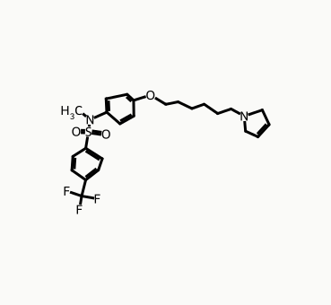 CN(c1ccc(OCCCCCCN2CC=CC2)cc1)S(=O)(=O)c1ccc(C(F)(F)F)cc1